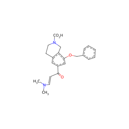 CN(C)/C=C/C(=O)c1cc2c(c(OCc3ccccc3)c1)CN(C(=O)O)CC2